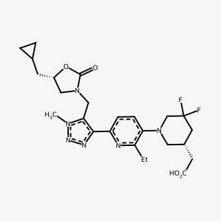 CCc1nc(-c2nnn(C)c2CN2C[C@H](CC3CC3)OC2=O)ccc1N1C[C@@H](CC(=O)O)CC(F)(F)C1